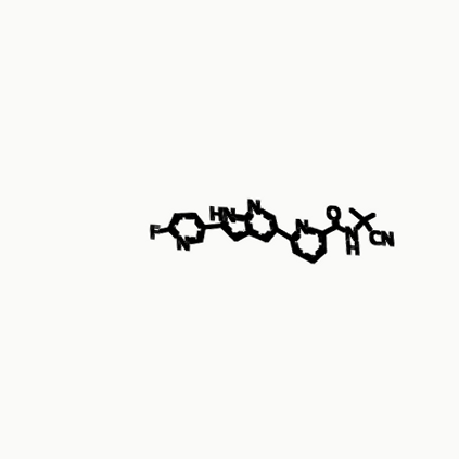 CC(C)(C#N)NC(=O)c1cccc(-c2cnc3[nH]c(-c4ccc(F)nc4)cc3c2)n1